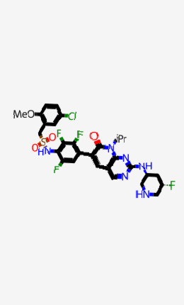 COc1ccc(Cl)cc1CS(=O)(=O)Nc1c(F)cc(-c2cc3cnc(N[C@@H]4CNC[C@@H](F)C4)nc3n(C(C)C)c2=O)c(F)c1F